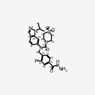 CC(C)n1ncc2ccc(N(Cc3ccc(C(=O)NN)cc3F)C(=O)N3CCS(=O)(=O)CC3)cc21